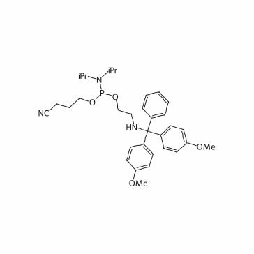 COc1ccc(C(NCCOP(OCCCC#N)N(C(C)C)C(C)C)(c2ccccc2)c2ccc(OC)cc2)cc1